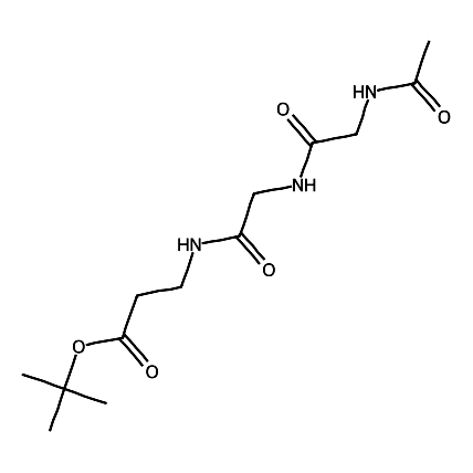 CC(=O)NCC(=O)NCC(=O)NCCC(=O)OC(C)(C)C